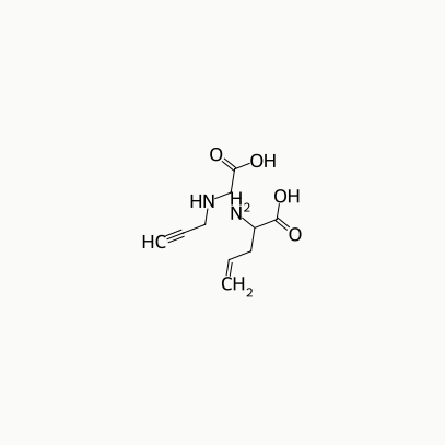 C#CCNCC(=O)O.C=CCC(N)C(=O)O